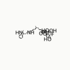 C/C(=C\C=C\CNCCc1c(C)[nH]c2ccccc12)C/C=C/C(=O)NO[C@@H]1O[C@H](CO)[C@H](F)[C@H](O)[C@H]1O